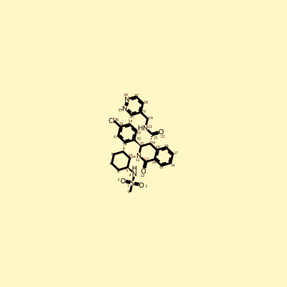 CS(=O)(=O)N[C@H]1CCCC[C@@H]1N1C(=O)c2ccccc2[C@@H](C(=O)NCc2ccnnc2)[C@@H]1c1ccc(Cl)cc1